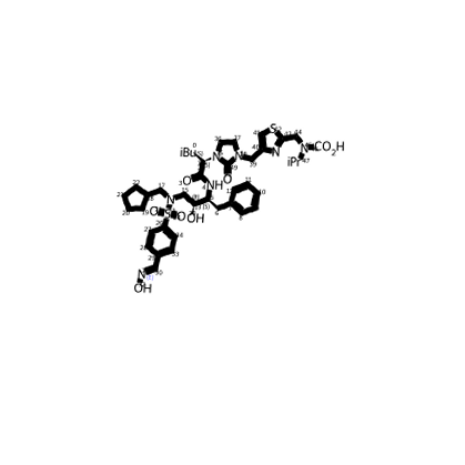 CC[C@H](C)[C@@H](C(=O)N[C@@H](Cc1ccccc1)[C@H](O)CN(CC1CCCC1)S(=O)(=O)c1ccc(/C=N/O)cc1)N1CCN(Cc2csc(CN(C(=O)O)C(C)C)n2)C1=O